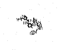 Cc1cc(Nc2cc(NC(=O)c3ccnc(C(C)(C)C#N)c3)ccc2C)n(-c2cc(NCCN3CCOCC3)ncn2)n1